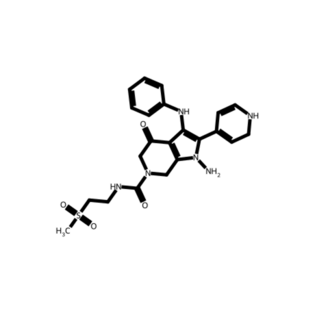 CS(=O)(=O)CCNC(=O)N1CC(=O)c2c(Nc3ccccc3)c(C3=CCNC=C3)n(N)c2C1